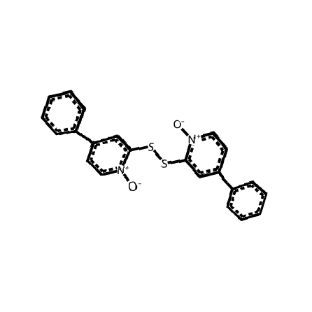 [O-][n+]1ccc(-c2ccccc2)cc1SSc1cc(-c2ccccc2)cc[n+]1[O-]